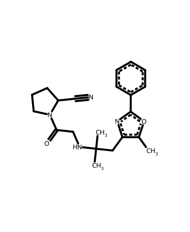 Cc1oc(-c2ccccc2)nc1CC(C)(C)NCC(=O)N1CCCC1C#N